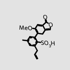 C=CCc1cc(C)cc(C2=C(OC)C=C3C(=O)OC=C3C2)c1S(=O)(=O)O